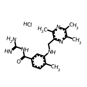 Cc1ccc(C(=O)NC(=N)N)cc1NCc1nc(C)c(C)nc1C.Cl